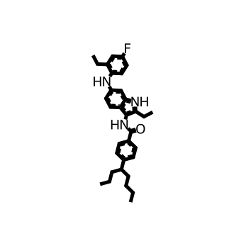 CCCCC(CCC)c1ccc(C(=O)Nc2c(CC)[nH]c3cc(Nc4ccc(F)cc4CC)ccc23)cc1